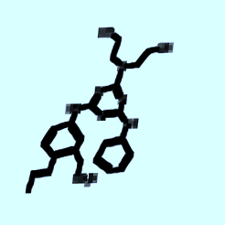 C/C=C/c1ccc(Nc2nc(Nc3ccccc3)nc(N(CCO)CCO)n2)cc1CS(=O)(=O)O